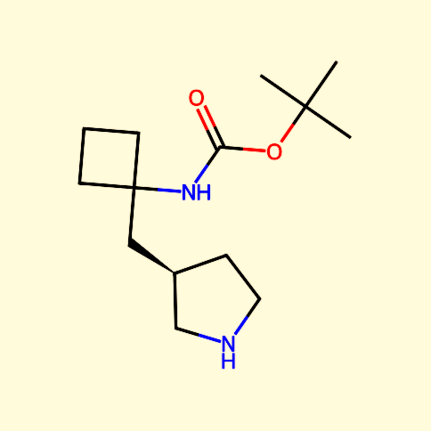 CC(C)(C)OC(=O)NC1(C[C@H]2CCNC2)CCC1